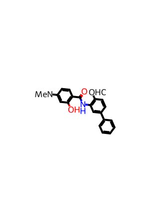 CNc1ccc(C(=O)Nc2cc(-c3ccccc3)ccc2C=O)c(O)c1